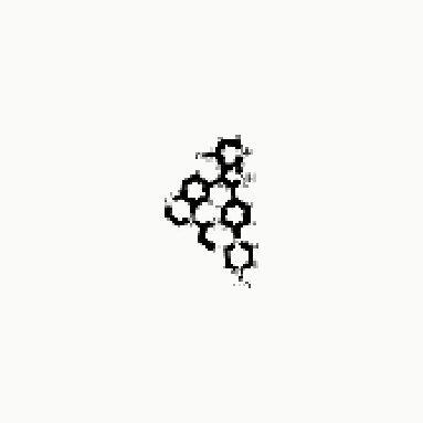 C=CC(=O)N1CCOc2ccc(-c3c(-c4ccc(N5CCN(C(C)C)CC5)cc4)[nH]c4nccc(Cl)c34)cc21